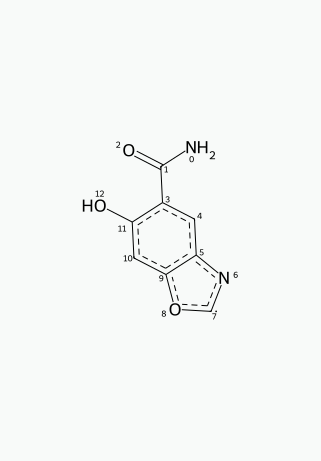 NC(=O)c1cc2n[c]oc2cc1O